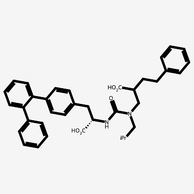 CC(C)CN(CC(CCc1ccccc1)C(=O)O)C(=O)N[C@@H](Cc1ccc(-c2ccccc2-c2ccccc2)cc1)C(=O)O